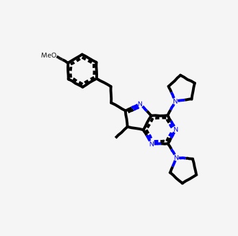 COc1ccc(CCC2=Nc3c(nc(N4CCCC4)nc3N3CCCC3)C2C)cc1